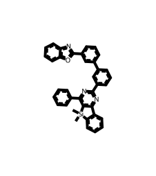 C[Si]1(C)c2ccccc2-c2nc(-c3cccc(-c4cccc(-c5nc6ccccc6o5)c4)c3)nc(-c3ccccc3)c21